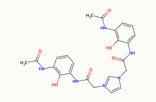 CC(=O)Nc1cccc(NC(=O)Cn2cc[n+](CC(=O)Nc3cccc(NC(C)=O)c3O)c2)c1O